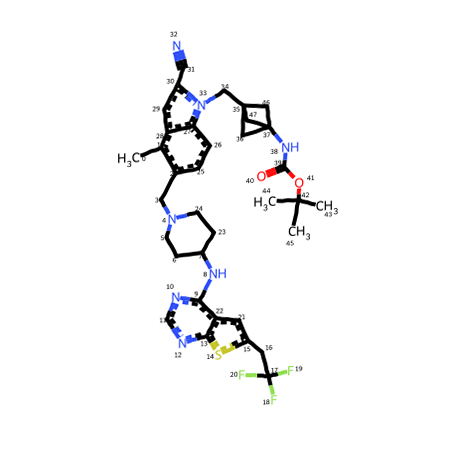 Cc1c(CN2CCC(Nc3ncnc4sc(CC(F)(F)F)cc34)CC2)ccc2c1cc(C#N)n2CC12CC(NC(=O)OC(C)(C)C)(C1)C2